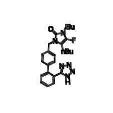 CCCCc1c(F)n(C(C)CC)c(=O)n1Cc1ccc(-c2ccccc2-c2nnn[nH]2)cc1